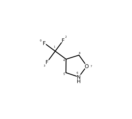 FC(F)(F)C1[CH]NOC1